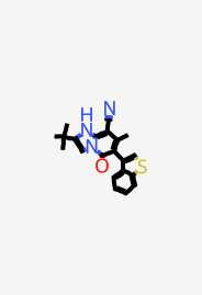 Cc1c(-c2csc3ccccc23)c(=O)n2cc(C(C)(C)C)[nH]c2c1C#N